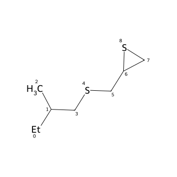 CCC(C)CSCC1CS1